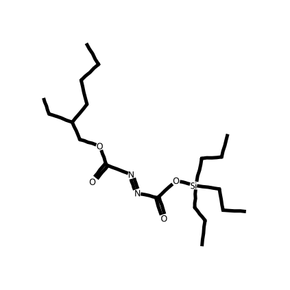 CCCCC(CC)COC(=O)/N=N/C(=O)O[Si](CCC)(CCC)CCC